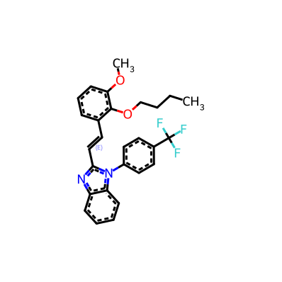 CCCCOc1c(/C=C/c2nc3ccccc3n2-c2ccc(C(F)(F)F)cc2)cccc1OC